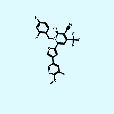 CSc1ncc(-c2csc(-c3cc(C(F)(F)F)c(C#N)c(=O)n3Cc3ccc(F)cc3F)c2)cc1C